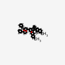 Cc1ccc2ccc3c(c2c1)Oc1c(ccc2ccc(C)cc12)C31c2ccccc2-c2cc(-c3ccc(N(c4ccccc4)c4ccccc4-c4ccccc4)cc3)ccc21